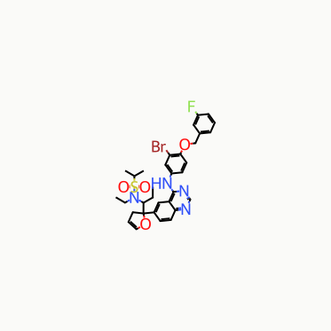 CCC(N(CC)S(=O)(=O)C(C)C)C1(c2ccc3ncnc(Nc4ccc(OCc5cccc(F)c5)c(Br)c4)c3c2)CC=CO1